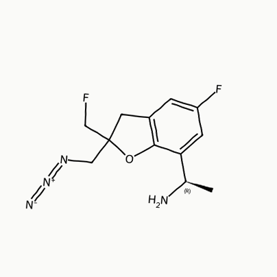 C[C@@H](N)c1cc(F)cc2c1OC(CF)(CN=[N+]=[N-])C2